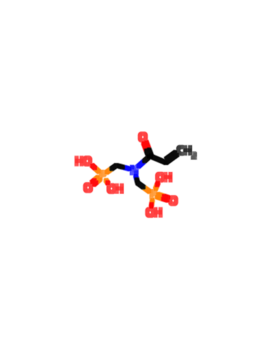 C=CC(=O)N(CP(=O)(O)O)CP(=O)(O)O